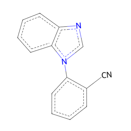 N#Cc1ccccc1-n1cnc2ccccc21